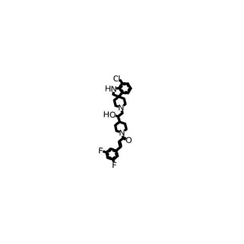 O=C(/C=C/c1cc(F)cc(F)c1)N1CCC(C(O)CN2CCC3(CC2)CNc2c(Cl)cccc23)CC1